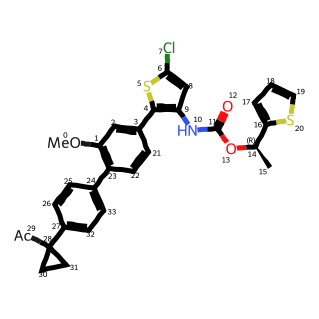 COc1cc(-c2sc(Cl)cc2NC(=O)O[C@H](C)c2cccs2)ccc1-c1ccc(C2(C(C)=O)CC2)cc1